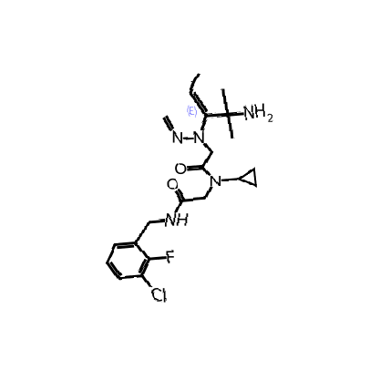 C=NN(CC(=O)N(CC(=O)NCc1cccc(Cl)c1F)C1CC1)/C(=C/C)C(C)(C)N